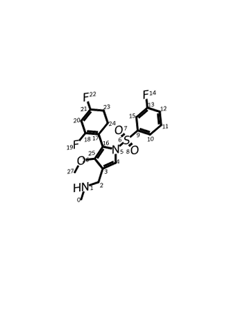 CNCc1cn(S(=O)(=O)c2cccc(F)c2)c(C2=C(F)C=C(F)CC2)c1OC